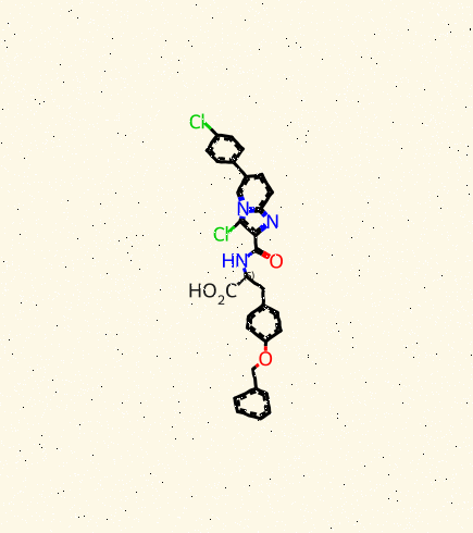 O=C(N[C@@H](Cc1ccc(OCc2ccccc2)cc1)C(=O)O)c1nc2ccc(-c3ccc(Cl)cc3)cn2c1Cl